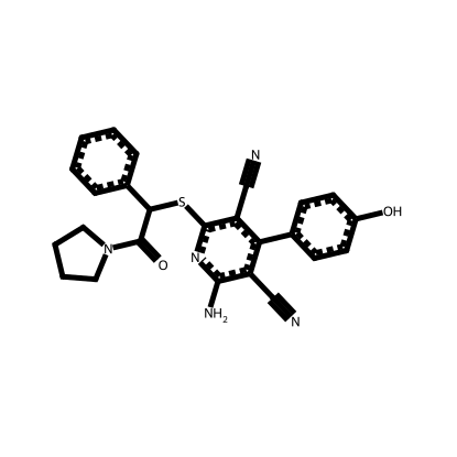 N#Cc1c(N)nc(SC(C(=O)N2CCCC2)c2ccccc2)c(C#N)c1-c1ccc(O)cc1